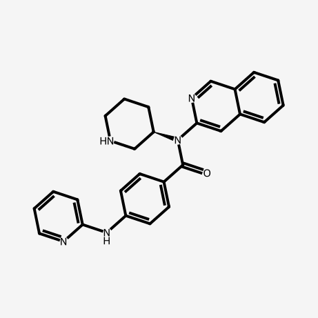 O=C(c1ccc(Nc2ccccn2)cc1)N(c1cc2ccccc2cn1)[C@@H]1CCCNC1